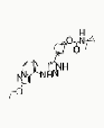 CCOc1cc2c(Nc3cc([C@H]4CC[C@@H](OC(=O)NC5(C)CC5)C4)[nH]n3)nccn2n1